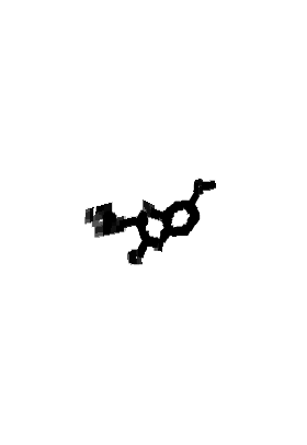 COc1ccc2nc(Cl)c(NN)nc2c1